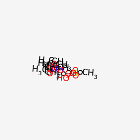 Cc1ccc(S(=O)(=O)OCC(CO)Oc2ccc(CC(C[C@H](NC(=O)OC(C)(C)C)C(=O)OC(C)(C)C)C(=O)OC(C)(C)C)cc2)cc1